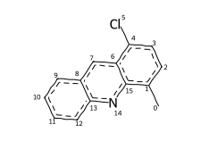 Cc1ccc(Cl)c2cc3ccccc3nc12